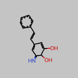 N=C1C=C(C=Cc2ccccc2)C=C(O)C1O